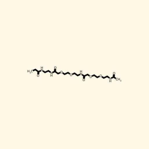 CCC(=O)NCCNC(=O)COCCOCCNC(=O)COCCOCCNC(C)=O